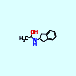 CC(O)NC1Cc2ccccc2C1